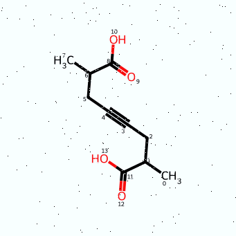 CC(CC#CCC(C)C(=O)O)C(=O)O